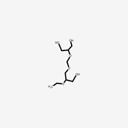 CCOC(CO)COCOC(CO)CO